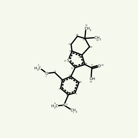 COCc1cc(N(C)C)ccc1-c1sc2c(c1C(=O)O)CC(C)(C)CC2